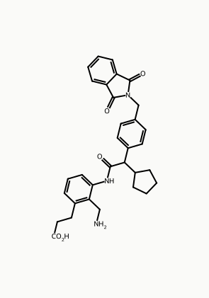 NCc1c(CCC(=O)O)cccc1NC(=O)C(c1ccc(CN2C(=O)c3ccccc3C2=O)cc1)C1CCCC1